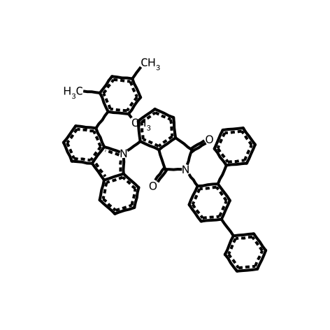 Cc1cc(C)c(-c2cccc3c4ccccc4n(-c4cccc5c4C(=O)N(c4ccc(-c6ccccc6)cc4-c4ccccc4)C5=O)c23)c(C)c1